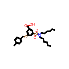 CCCCCCN(CCCCCC)S(=O)(=O)c1cc(SCc2ccc(C)cc2)cc(C(=O)O)c1